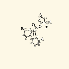 Cn1cc(OC(=O)Nc2cc(F)ccc2-c2cccc(F)c2)c(C(F)F)c1